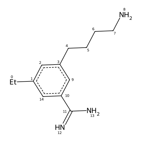 CCc1cc(CCCCN)cc(C(=N)N)c1